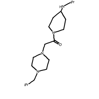 CC(C)CN1CCN(CC(=O)N2CCC(NC(C)C)CC2)CC1